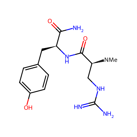 CN[C@@H](CNC(=N)N)C(=O)N[C@@H](Cc1ccc(O)cc1)C(N)=O